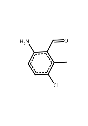 Cc1c(Cl)ccc(N)c1C=O